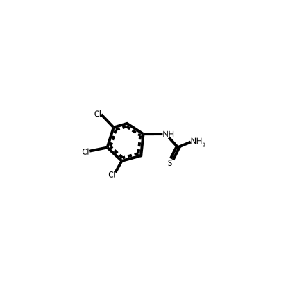 NC(=S)Nc1cc(Cl)c(Cl)c(Cl)c1